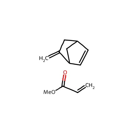 C=C1CC2C=CC1C2.C=CC(=O)OC